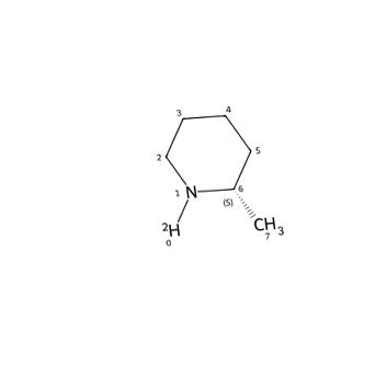 [2H]N1CCCC[C@@H]1C